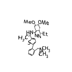 CCc1nnc(NC(C)c2ccc(-c3ccccc3CN(C)C)s2)c2cc(OC)c(OC)cc12